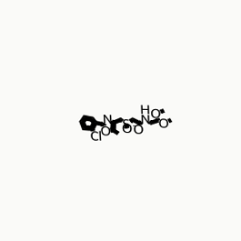 COC(CNC(=O)C[S+]([O-])Cc1nc(-c2ccccc2Cl)oc1C)OC